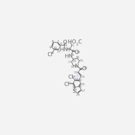 O=C(O)C[C@H](NC(=O)c1cccc(Cl)c1)C(=O)NC1CCN(C(=O)/C=C/c2cc3ccsc3c(Cl)c2Cl)CC1